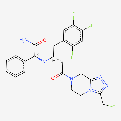 NC(=O)[C@@H](N[C@@H](CC(=O)N1CCn2c(CF)nnc2C1)Cc1cc(F)c(F)cc1F)c1ccccc1